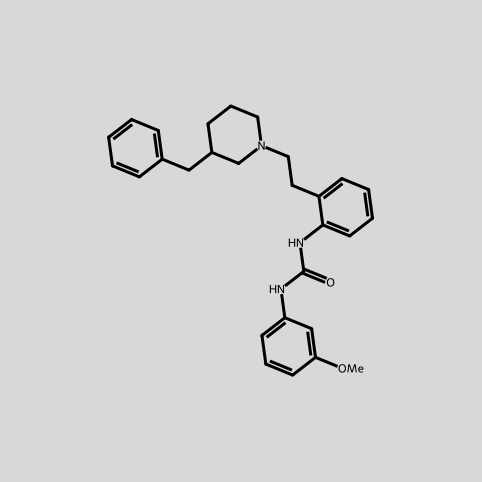 COc1cccc(NC(=O)Nc2ccccc2CCN2CCCC(Cc3ccccc3)C2)c1